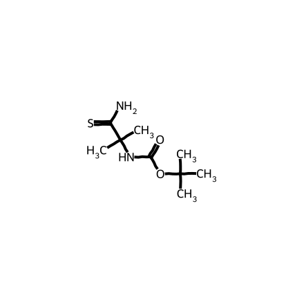 CC(C)(C)OC(=O)NC(C)(C)C(N)=S